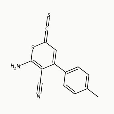 Cc1ccc(C2=CC(=C=S)SC(N)=C2C#N)cc1